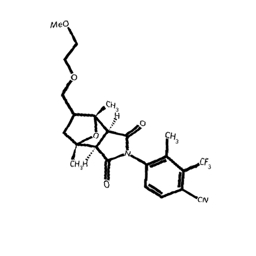 COCCOCC1C[C@]2(C)O[C@@]1(C)[C@H]1C(=O)N(c3ccc(C#N)c(C(F)(F)F)c3C)C(=O)[C@H]12